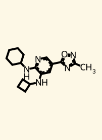 Cc1noc(-c2cnc(NC3CCCCC3)c(NC3CCC3)c2)n1